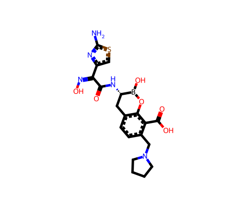 Nc1nc(/C(=N/O)C(=O)N[C@H]2Cc3ccc(CN4CCCC4)c(C(=O)O)c3OB2O)cs1